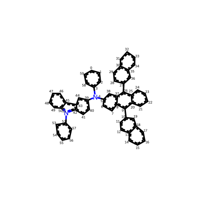 c1ccc(N(c2ccc3c(-c4ccc5ccccc5c4)c4ccccc4c(-c4ccc5ccccc5c4)c3c2)c2ccc3c(c2)c2ccccc2n3-c2ccccc2)cc1